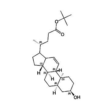 C[C@H](CCC(=O)OC(C)(C)C)C1CC[C@@H]2C1C=C[C@H]1[C@H]2CC[C@@H]2C[C@H](O)CC[C@@]21C